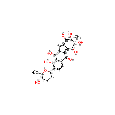 C[C@H]1O[C@@H](c2ccc3c(c2O)C(O)=C2C=C4C(=O)[C@@](C)(O)[C@H](O)[C@@H](O)C4=C2C3=O)CC[C@@H]1O